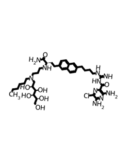 CCCCCCN(CCCN[C@@H](CCc1ccc2cc(CCCCNC(=N)NC(=O)c3nc(Cl)c(N)nc3N)ccc2c1)C(N)=O)C[C@H](O)[C@@H](O)[C@H](O)[C@H](O)CO